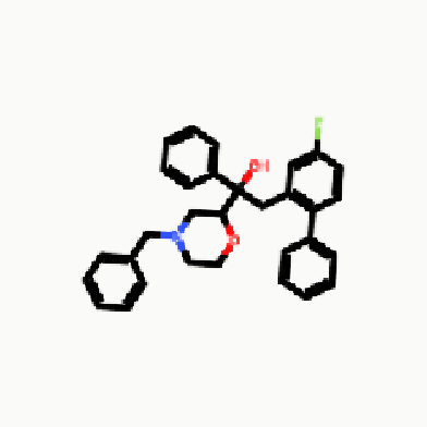 O[C@](Cc1cc(F)ccc1-c1ccccc1)(c1ccccc1)C1CN(Cc2ccccc2)CCO1